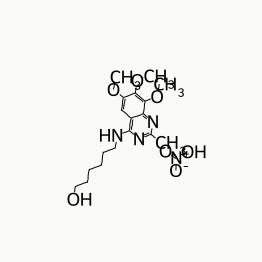 COc1cc2c(NCCCCCCO)nc(C)nc2c(OC)c1OC.O=[N+]([O-])O